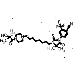 CC(C)(O)C(=O)N1CCN(CCCCCCCCN2C(=S)N(c3ccc(C#N)c(C(F)(F)F)c3)C(=O)C2(C)C)CC1